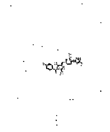 COC1=N/C(=C\c2ccc(-n3cnc(C)c3)c(OC)c2)C(=O)N1C(C)c1ccc(F)cc1